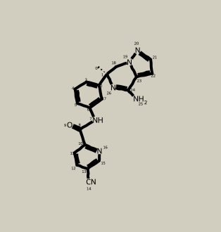 C[C@]1(c2cccc(NC(=O)c3ccc(C#N)cn3)c2)Cn2nccc2C(N)=N1